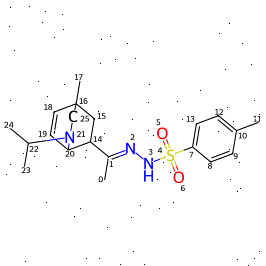 C/C(=N\NS(=O)(=O)c1ccc(C)cc1)C1CC2(C)C=CC1N(C(C)C)C2